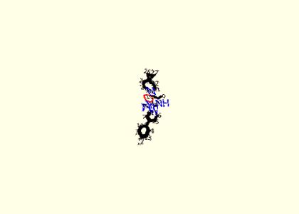 CC(Nc1nnc2cc(-c3ccccc3)ccn12)C(=O)N1CCC2(CC1)CC2